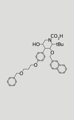 CC(C)(C)C1C(OCc2ccc3ccccc3c2)C(c2ccc(OCCCOCc3ccccc3)cc2)C(O)CN1C(=O)O